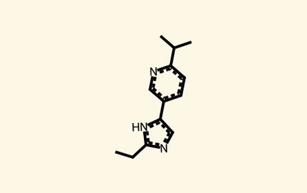 CCc1ncc(-c2ccc(C(C)C)nc2)[nH]1